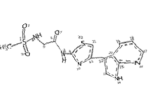 CS(=O)(=O)NCC(=O)Nc1nc(-c2c[nH]c3ncccc23)cs1